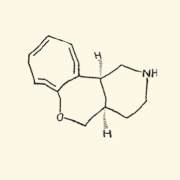 c1ccc2c(c1)OC[C@@H]1CCNC[C@H]21